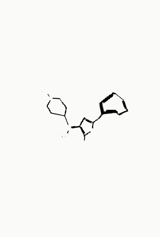 CN1CCC(N(C=O)c2cc(-c3ccccc3)sc2C(=O)O)CC1